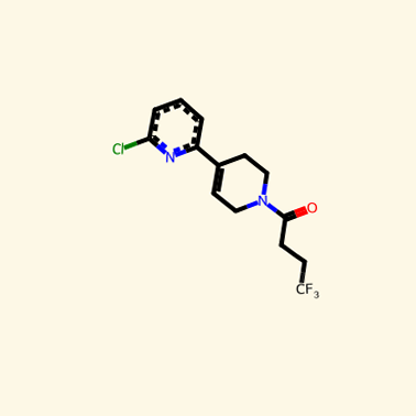 O=C(CCC(F)(F)F)N1CC=C(c2cccc(Cl)n2)CC1